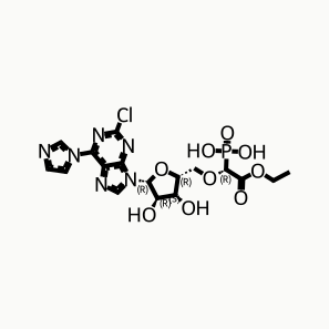 CCOC(=O)[C@H](OC[C@H]1O[C@@H](n2cnc3c(-n4ccnc4)nc(Cl)nc32)[C@H](O)[C@@H]1O)P(=O)(O)O